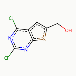 OCc1cc2c(Cl)nc(Cl)nc2s1